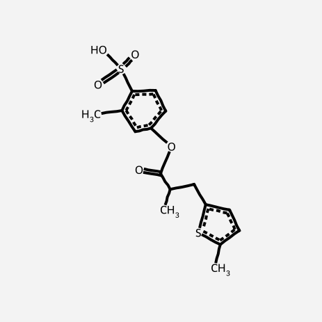 Cc1ccc(CC(C)C(=O)Oc2ccc(S(=O)(=O)O)c(C)c2)s1